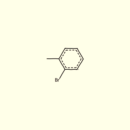 Cc1ccc[c]c1Br